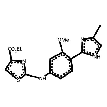 CCOC(=O)c1csc(Nc2ccc(-c3nc(C)c[nH]3)c(OC)c2)n1